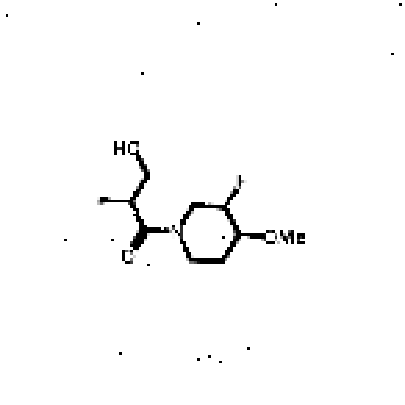 CO[C@H]1CCN(C(=O)[C@@H](C)CO)C[C@H]1F